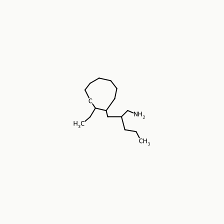 CCCC(CN)CC1CCCCCCCC1CC